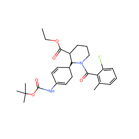 CCOC(=O)C1CCCN(C(=O)c2c(C)cccc2F)C1[C@@H]1C=CC(NC(=O)OC(C)(C)C)=CC1